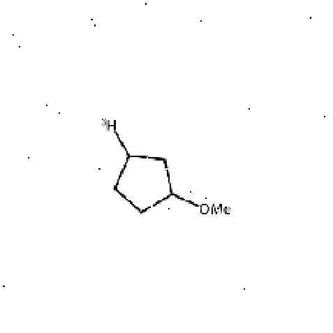 [3H]C1CCC(OC)C1